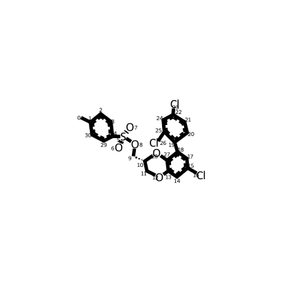 Cc1ccc(S(=O)(=O)OC[C@H]2COc3cc(Cl)cc(-c4ccc(Cl)cc4Cl)c3O2)cc1